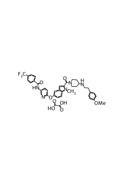 COc1ccc(CCNC2CCN(C(=O)c3cc4cc(Oc5ccc(NC(=O)c6ccc(C(F)(F)F)cc6)cn5)ccc4n3C)CC2)cc1.O=C(O)C(=O)O